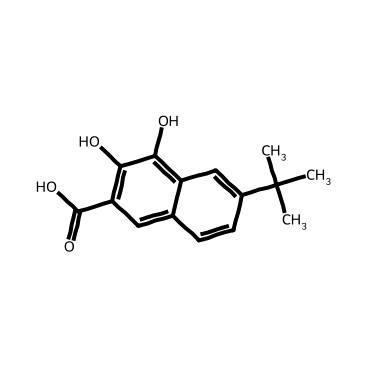 CC(C)(C)c1ccc2cc(C(=O)O)c(O)c(O)c2c1